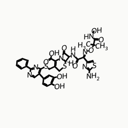 CC(C)(ON=C(C(=O)N[C@@H]1C(=O)N2C(C(=O)O)=C(CSc3nc(-c4ccccc4)ncc3-c3ccc(O)c(O)c3)CS[C@H]12)c1csc(N)n1)C(=O)NO